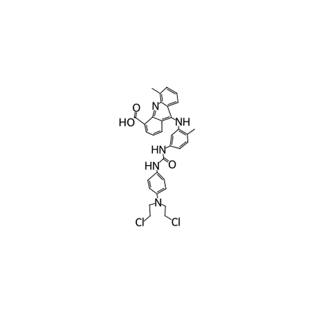 Cc1ccc(NC(=O)Nc2ccc(N(CCCl)CCCl)cc2)cc1Nc1c2cccc(C)c2nc2c(C(=O)O)cccc12